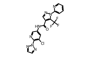 O=C(Nc1cnc(-n2nccn2)c(Cl)c1)c1cnn(-c2ccccn2)c1C(F)(F)F